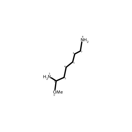 COC(N)CCCCCN